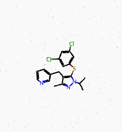 Cc1nn(C(C)C)c(Sc2cc(Cl)cc(Cl)c2)c1Cc1cccnc1